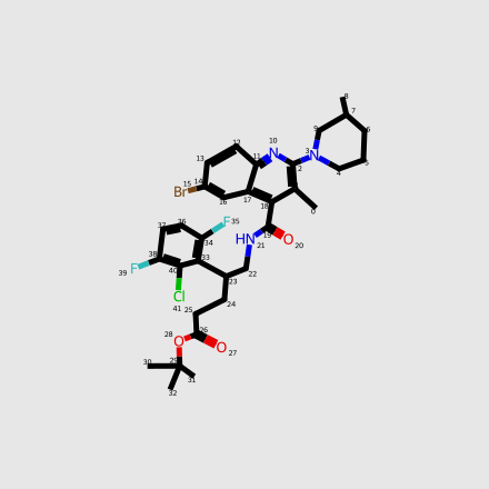 Cc1c(N2CCCC(C)C2)nc2ccc(Br)cc2c1C(=O)NCC(CCC(=O)OC(C)(C)C)c1c(F)ccc(F)c1Cl